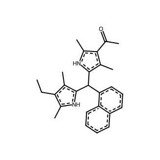 CCc1c(C)[nH]c(C(c2[nH]c(C)c(C(C)=O)c2C)c2cccc3ccccc23)c1C